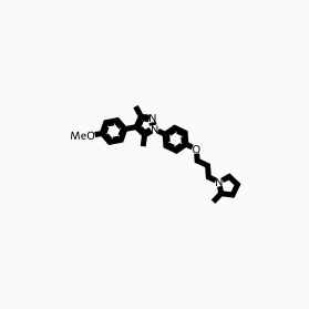 COc1ccc(-c2c(C)nn(-c3ccc(OCCCN4CCCC4C)cc3)c2C)cc1